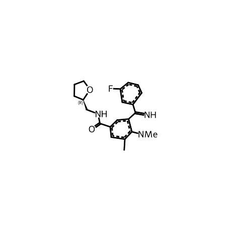 CNc1c(C)cc(C(=O)NC[C@H]2CCCO2)cc1C(=N)c1cccc(F)c1